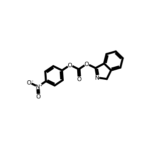 O=C(OC1=NCc2ccccc21)Oc1ccc([N+](=O)[O-])cc1